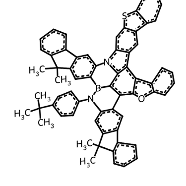 CC(C)(C)c1ccc(N2B3c4cc5c(cc4-n4c6cc7sc8ccccc8c7cc6c6c7c(oc8ccccc87)c(c3c64)-c3cc4c(cc32)C(C)(C)c2ccccc2-4)-c2ccccc2C5(C)C)cc1